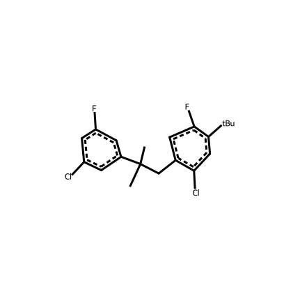 CC(C)(C)c1cc(Cl)c(CC(C)(C)c2cc(F)cc(Cl)c2)cc1F